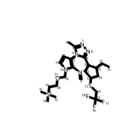 C=Nc1c(-n2c(C)nnc2C2CC(SCC(F)(F)F)CC2CC)ccn1COCC[Si](C)(C)C